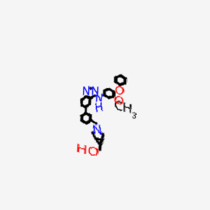 COc1cc(Nc2ncnc3ccc(-c4cccc(CN5CC6C(CO)C6C5)c4)cc23)ccc1Oc1ccccc1